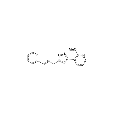 COc1ncccc1-c1cc(CN=Cc2ccccc2)on1